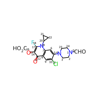 O=CN1CCN(c2cc3c(cc2Cl)c(=O)c(OC(=O)O)c(F)n3C2CC2)CC1